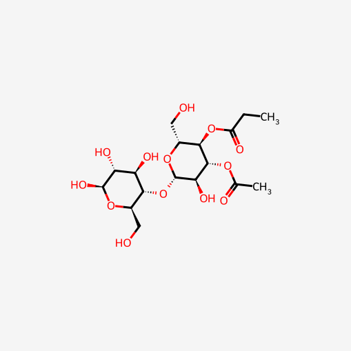 CCC(=O)O[C@H]1[C@H](OC(C)=O)[C@@H](O)[C@H](O[C@H]2[C@H](O)[C@@H](O)[C@H](O)O[C@@H]2CO)O[C@@H]1CO